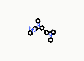 c1ccc(-n2c3ccccc3c3cc(-c4ccc5c(c4)c4cn6c(cc4n5-c4ccccc4)nc4ccccc46)ccc32)cc1